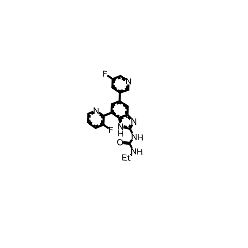 CCNC(=O)Nc1nc2cc(-c3cncc(F)c3)cc(-c3ncccc3F)c2[nH]1